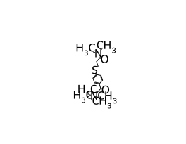 CCN(CC)C(=O)CCSc1ccc(C(=O)C(C)(C)N(C)C)cc1